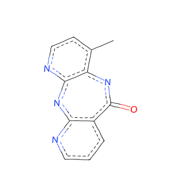 Cc1ccnc2nc3ncccc3c(=O)nc12